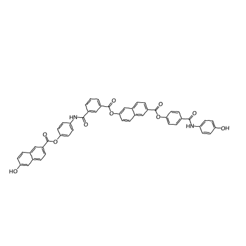 O=C(Nc1ccc(O)cc1)c1ccc(OC(=O)c2ccc3cc(OC(=O)c4cccc(C(=O)Nc5ccc(OC(=O)c6ccc7cc(O)ccc7c6)cc5)c4)ccc3c2)cc1